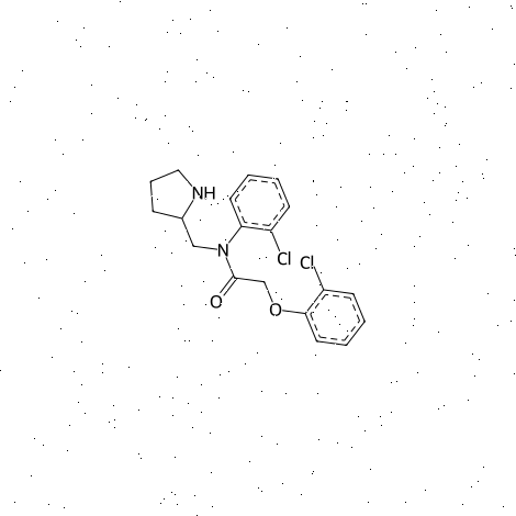 O=C(COc1ccccc1Cl)N(CC1CCCN1)c1ccccc1Cl